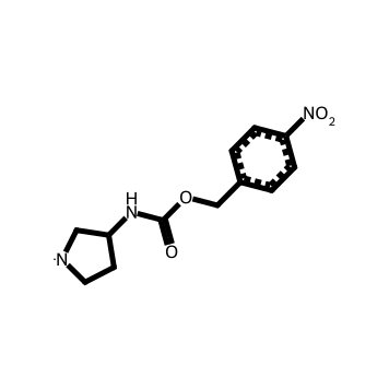 O=C(NC1CC[N]C1)OCc1ccc([N+](=O)[O-])cc1